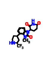 Cn1c(=O)n(C2CCC(=O)NC2=O)c2cccc(C3CCNC(C(F)(F)F)C3)c21